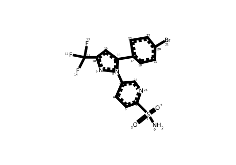 NS(=O)(=O)c1ccc(-n2nc(C(F)(F)F)cc2-c2ccc(Br)cc2)cn1